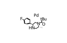 C[C@@H]1CN[C@@H](c2ccc(F)cc2)CN1C(=O)C(C)(C)C.[Pd]